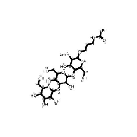 CC(=O)NC1C(OCCCNC(=O)C(C)C)OC(CO)C(OC2OC(CO)C(O)C(OC3OC(CO)C(O)C(O)C3O)C2O)C1O